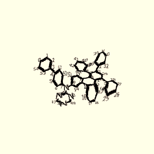 c1ccc(-c2ccc(N(c3ccc4c(c3)c3ccccc3c3c(-c5ccccc5)cc(-c5ccccc5)c(-c5ccccc5)c43)c3ncncn3)cc2)cc1